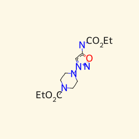 CCOC(=O)[N-]c1c[n+](N2CCN(C(=O)OCC)CC2)no1